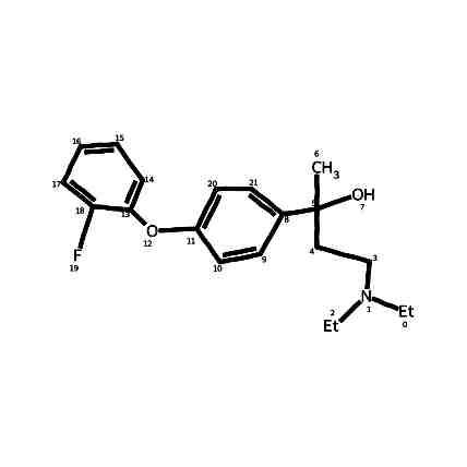 CCN(CC)CCC(C)(O)c1ccc(Oc2ccccc2F)cc1